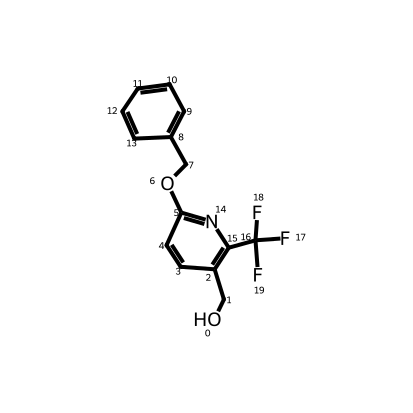 OCc1ccc(OCc2ccccc2)nc1C(F)(F)F